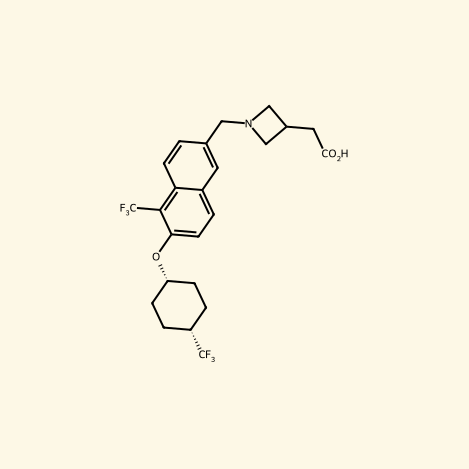 O=C(O)CC1CN(Cc2ccc3c(C(F)(F)F)c(O[C@H]4CC[C@@H](C(F)(F)F)CC4)ccc3c2)C1